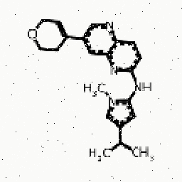 CC(C)c1cc(Nc2ccc3ncc(C4=CCOCC4)cc3n2)n(C)c1